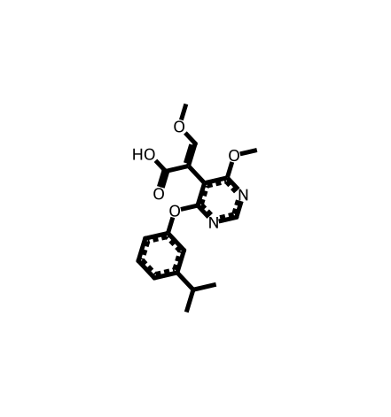 CO/C=C(\C(=O)O)c1c(OC)ncnc1Oc1cccc(C(C)C)c1